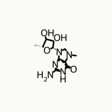 C[C@H]1O[C@@H](N2CN(C)c3c2nc(N)[nH]c3=O)C(O)C1O